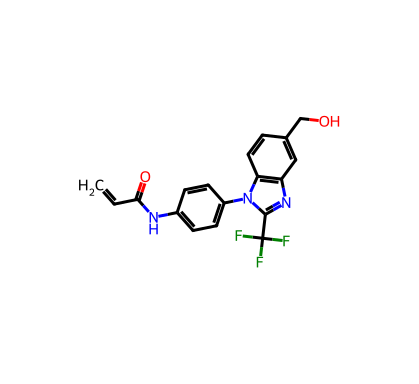 C=CC(=O)Nc1ccc(-n2c(C(F)(F)F)nc3cc(CO)ccc32)cc1